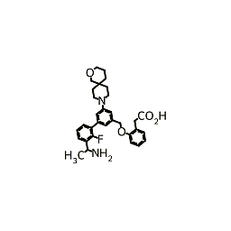 CC(N)c1cccc(-c2cc(COc3ccccc3CC(=O)O)cc(N3CCC4(CCCOC4)CC3)c2)c1F